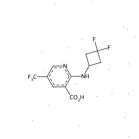 O=C(O)c1cc(C(F)(F)F)cnc1NC1CC(F)(F)C1